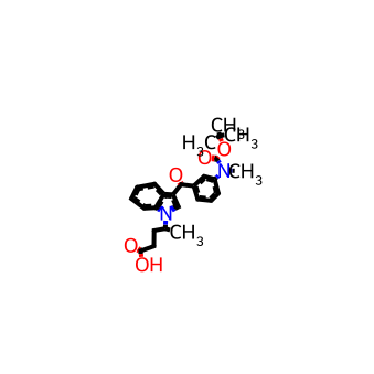 CC(CCC(=O)O)n1cc(C(=O)c2cccc(N(C)C(=O)OC(C)(C)C)c2)c2ccccc21